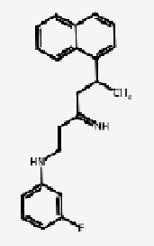 CC(CC(=N)CCNc1cccc(F)c1)c1cccc2ccccc12